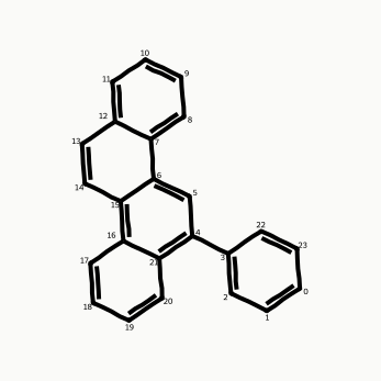 c1ccc(-c2cc3c4ccccc4ccc3c3ccccc23)cc1